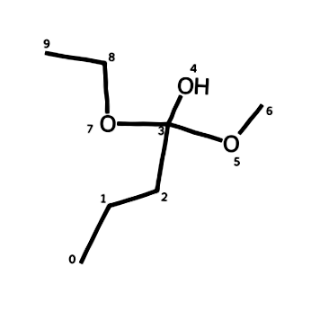 CCCC(O)(OC)OCC